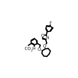 Cc1cccc(CO[C@H]2CCCCCC[C@@H]2OCc2coc(-c3ccc(F)cc3)n2)c1C(=O)O